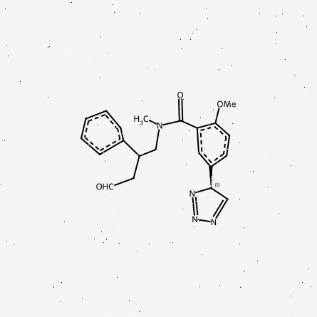 COc1ccc([C@H]2C=NN=N2)cc1C(=O)N(C)CC(CC=O)c1ccccc1